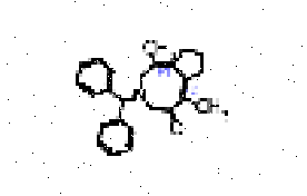 C/C1=C2\CCC\C2=C(/C)C(=O)CN(C(c2ccccc2)c2ccccc2)C1